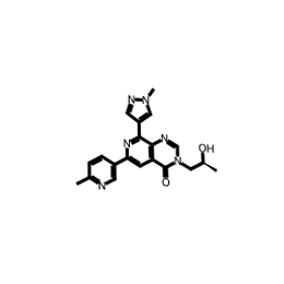 Cc1ccc(-c2cc3c(=O)n(C[C@H](C)O)cnc3c(-c3cnn(C)c3)n2)cn1